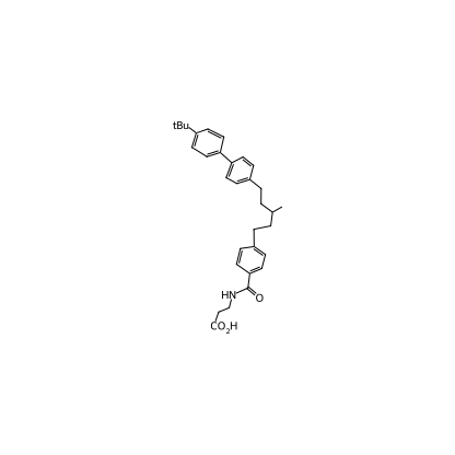 CC(CCc1ccc(C(=O)NCCC(=O)O)cc1)CCc1ccc(-c2ccc(C(C)(C)C)cc2)cc1